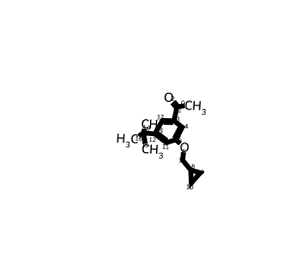 CC(=O)c1cc(OCC2CC2)cc(C(C)(C)C)c1